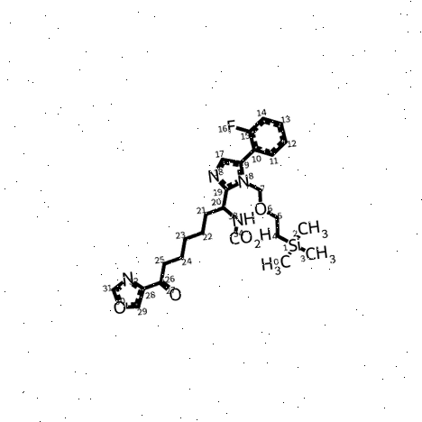 C[Si](C)(C)CCOCn1c(-c2ccccc2F)cnc1C(CCCCCC(=O)c1cocn1)NC(=O)O